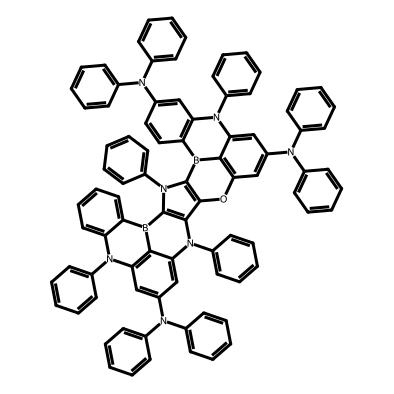 c1ccc(N(c2ccccc2)c2ccc3c(c2)N(c2ccccc2)c2cc(N(c4ccccc4)c4ccccc4)cc4c2B3c2c(c3c(n2-c2ccccc2)B2c5ccccc5N(c5ccccc5)c5cc(N(c6ccccc6)c6ccccc6)cc(c52)N3c2ccccc2)O4)cc1